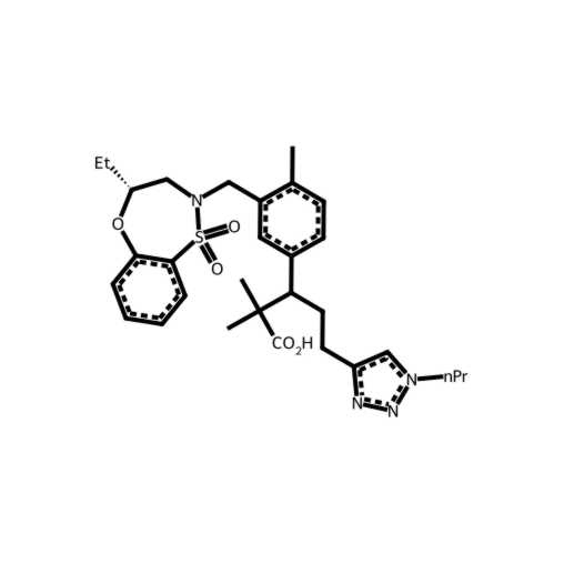 CCCn1cc(CCC(c2ccc(C)c(CN3C[C@@H](CC)Oc4ccccc4S3(=O)=O)c2)C(C)(C)C(=O)O)nn1